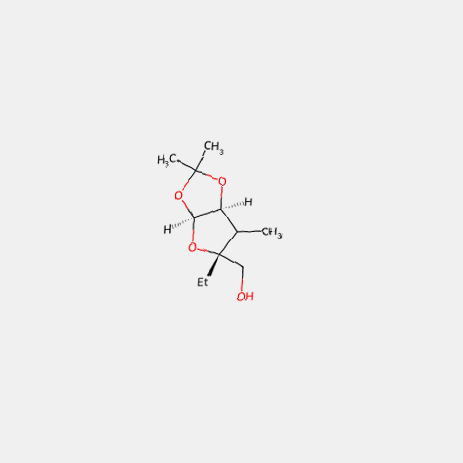 CC[C@@]1(CO)O[C@H]2OC(C)(C)O[C@H]2C1C